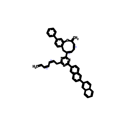 C=C/C=C\C=C/Cc1nc(/C2=C/C=C\C(=C)Oc3cc(-c4ccccc4)ccc3C2)nc(-c2ccc3cc(C4=CC5C=CC=CC5C=C4)ccc3c2)n1